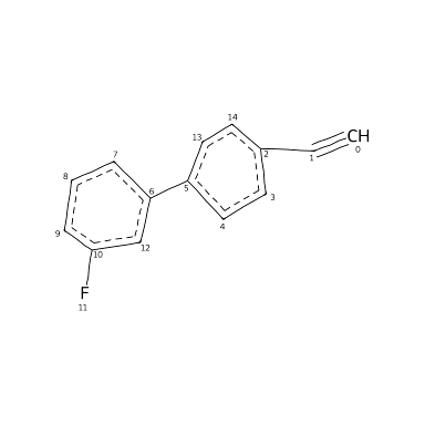 C#Cc1ccc(-c2cccc(F)c2)cc1